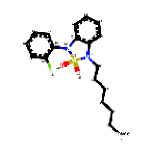 CNCCCCCCN1c2ccccc2N(c2ccccc2F)S1(=O)=O